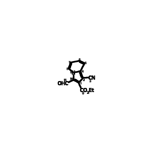 CCOC(=O)c1c(C#N)c2ccccn2c1C=O